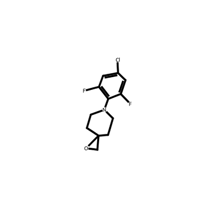 Fc1cc(Cl)cc(F)c1N1CCC2(CC1)CO2